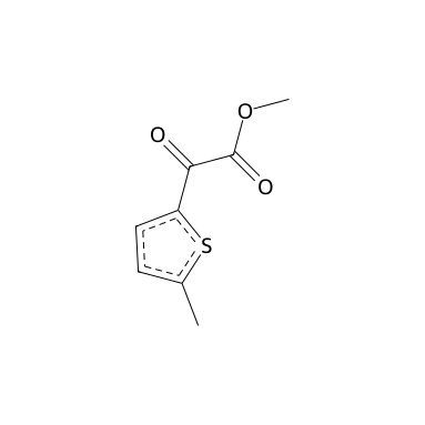 COC(=O)C(=O)c1ccc(C)s1